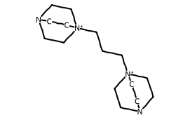 C(C[N+]12CCN(CC1)CC2)C[N+]12CCN(CC1)CC2